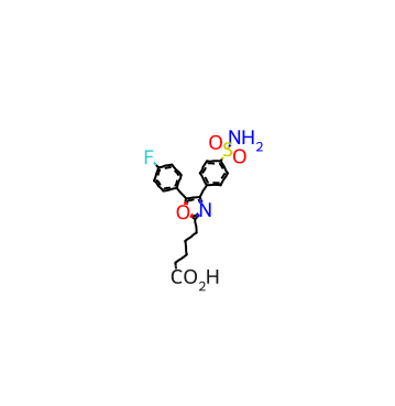 NS(=O)(=O)c1ccc(-c2nc(CCCCC(=O)O)oc2-c2ccc(F)cc2)cc1